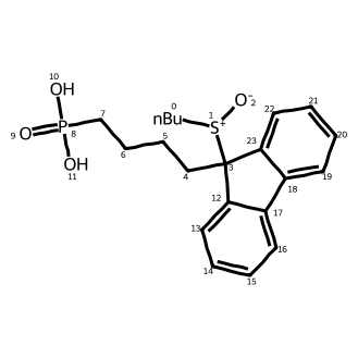 CCCC[S+]([O-])C1(CCCCP(=O)(O)O)c2ccccc2-c2ccccc21